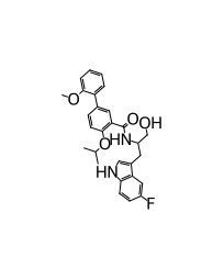 COc1ccccc1-c1ccc(OC(C)C)c(C(=O)NC(CO)Cc2c[nH]c3ccc(F)cc23)c1